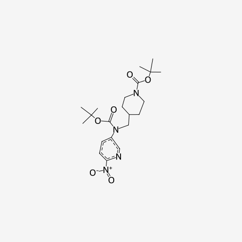 CC(C)(C)OC(=O)N1CCC(CN(C(=O)OC(C)(C)C)c2ccc([N+](=O)[O-])nc2)CC1